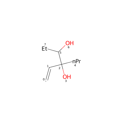 [CH]=CC(O)(CCC)C(O)CC